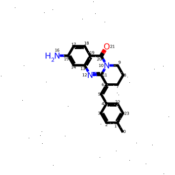 Cc1ccc(/C=C2\CCCn3c2nc2cc(N)ccc2c3=O)cc1